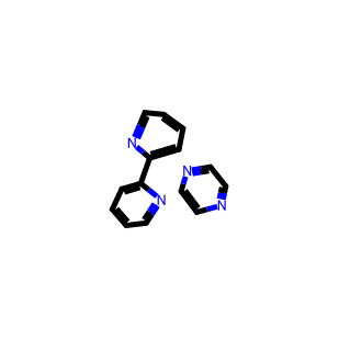 c1ccc(-c2ccccn2)nc1.c1cnccn1